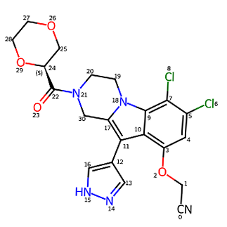 N#CCOc1cc(Cl)c(Cl)c2c1c(-c1cn[nH]c1)c1n2CCN(C(=O)[C@@H]2COCCO2)C1